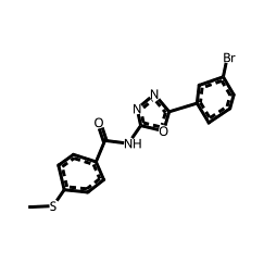 CSc1ccc(C(=O)Nc2nnc(-c3cccc(Br)c3)o2)cc1